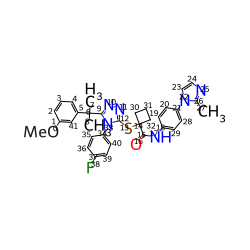 COc1cccc(C(C)(C)c2nnc(SC3(C(=O)Nc4ccc(-n5ccnc5C)cc4)CCC3)n2-c2ccc(F)cc2)c1